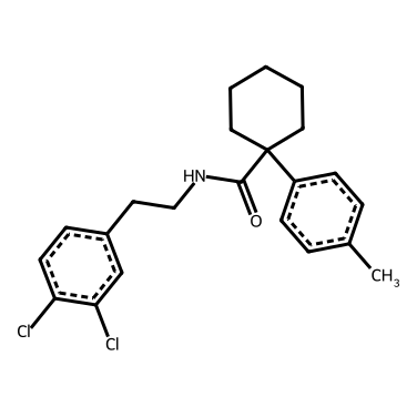 Cc1ccc(C2(C(=O)NCCc3ccc(Cl)c(Cl)c3)CCCCC2)cc1